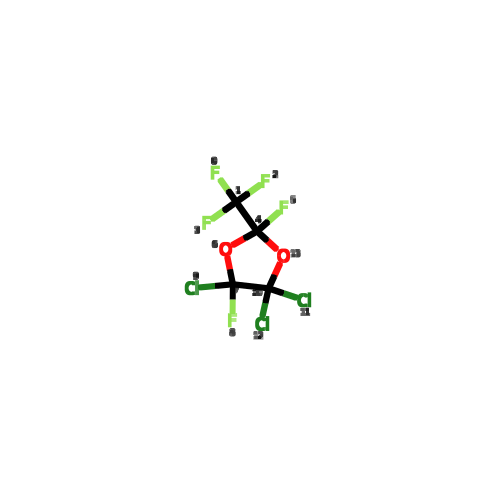 FC(F)(F)C1(F)OC(F)(Cl)C(Cl)(Cl)O1